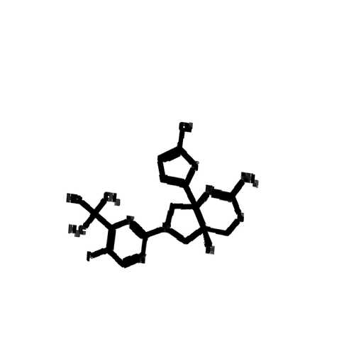 CC(C)(O)c1nc(N2C[C@H]3CSC(N)=NC3(c3ccc(C#N)s3)C2)ncc1F